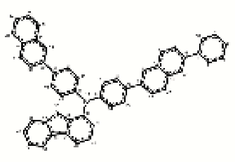 c1ccc(-c2ccc3cc(-c4ccc(N(c5ccc(-c6ccc7ccccc7c6)cc5)c5cccc6c5sc5ccccc56)cc4)ccc3c2)cc1